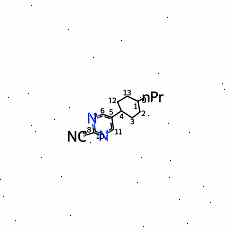 CCCC1CCC(c2cnc(C#N)nc2)CC1